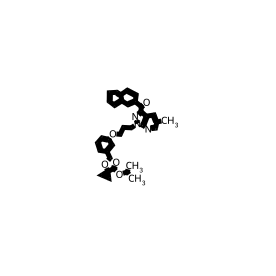 Cc1cnc2c(c1)c(C(=O)c1ccc3ccccc3c1)nn2CCCOc1cccc(COC2(C(=O)OC(C)C)CC2)c1